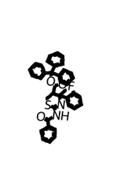 O=C(NC1=NC2(c3ccccc3F)COC(OC(c3ccccc3)(c3ccccc3)c3ccccc3)C2CS1)c1ccccc1